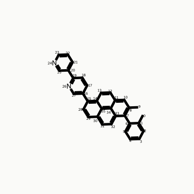 Cc1ccccc1-c1c(C)cc2ccc3c(-c4ccc(-c5cccnc5)nc4)ccc4ccc1c2c43